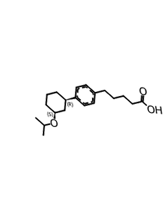 CC(C)O[C@H]1CCC[C@@H](c2ccc(CCCCC(=O)O)cc2)C1